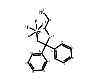 N#CCCOC(CS(F)(F)(F)(F)F)(c1ccccc1)c1ccccc1